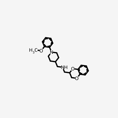 COc1ccccc1N1CCC(CNCC2COc3ccccc3O2)CC1